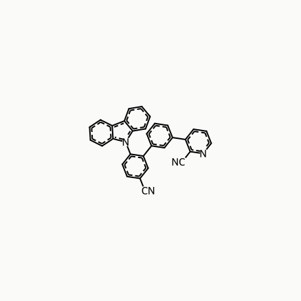 N#Cc1ccc(-n2c3ccccc3c3ccccc32)c(-c2cccc(-c3cccnc3C#N)c2)c1